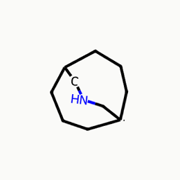 C1C[C]2CCCC(C1)CNC2